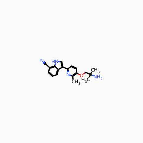 Cc1nc(-c2c[nH]c3c(C#N)cccc23)ccc1OCC(C)(C)N